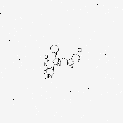 CC(C)Cn1c(=O)n(C)c(=O)c2c(N3CCCCC3)n(Cc3csc4ccc(Cl)cc34)nc21